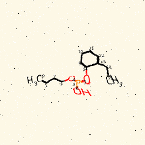 CCCCOP(O)OC1CCCCC1CC